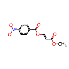 COC(=O)C=COC(=O)c1ccc([N+](=O)[O-])cc1